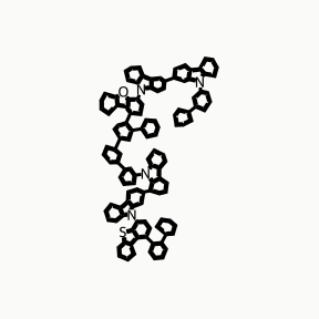 c1ccc(-c2cccc(-n3c4ccccc4c4ccc(-c5ccc6c(c5)c5ccccc5n6-c5ccc(-c6ccc(-c7cccc(-c8cccc(-n9c%10ccccc%10c%10cccc(-c%11ccc%12c%13ccccc%13n(-c%13ccc(-c%14ccccc%14-c%14ccccc%14)c%14c%13sc%13ccccc%13%14)c%12c%11)c%109)c8)c7)cc6-c6ccccc6)c6c5oc5ccccc56)cc43)c2)cc1